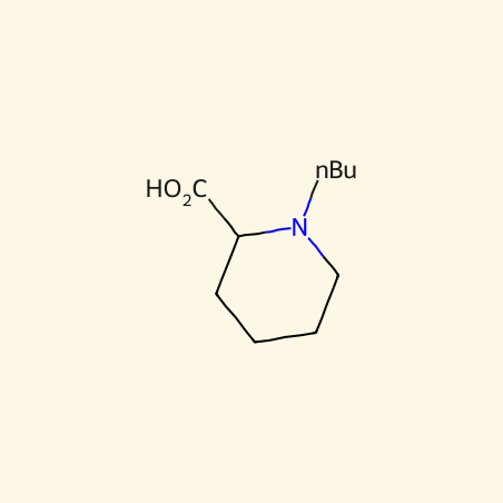 CCCCN1CCCCC1C(=O)O